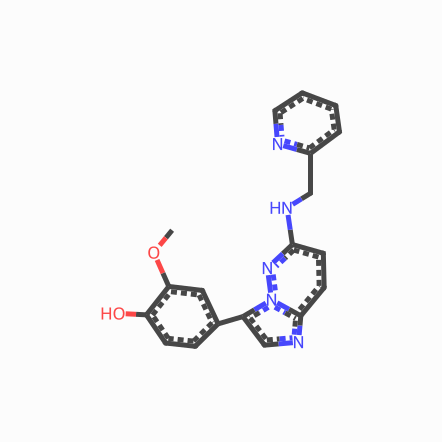 COc1cc(-c2cnc3ccc(NCc4ccccn4)nn23)ccc1O